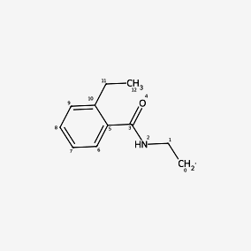 [CH2]CNC(=O)c1ccccc1CC